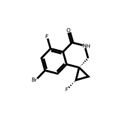 O=C1NC[C@@]2(C[C@@H]2F)c2cc(Br)cc(F)c21